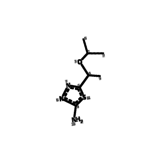 CC(C)OC(C)c1nnc(N)s1